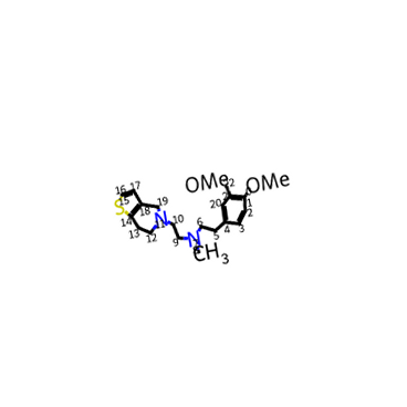 COc1ccc(CCN(C)CCN2CCc3sccc3C2)cc1OC